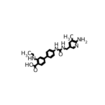 CCNc1cc(-c2ccc(NC(=O)NCc3cnc(N)c(C)c3)cc2)ccc1C(=O)O